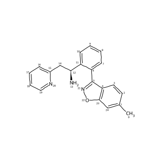 Cc1ccc2c(-c3ccccc3[C@@H](N)Cc3ccccn3)noc2c1